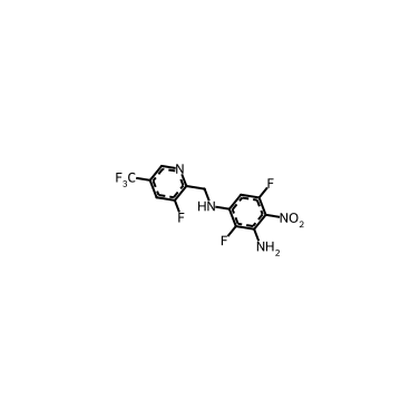 Nc1c(F)c(NCc2ncc(C(F)(F)F)cc2F)cc(F)c1[N+](=O)[O-]